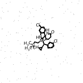 C[Si](C)(C)CCOC(C(c1cccc(Cl)c1)C1CC1)[C@@H]1CCC(=O)N[C@@]12C(=O)Nc1cc(Cl)ccc12